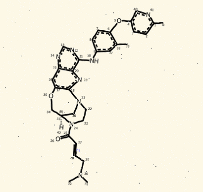 Cc1ccc(Oc2ccc(Nc3ncnc4cc5c(nc34)N3CCN(C(=O)/C=C/CN(C)C)[C@@H](CO5)C3)cc2C)cn1